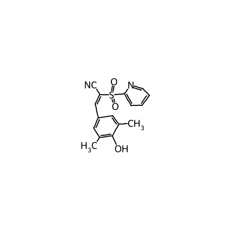 Cc1cc(C=C(C#N)S(=O)(=O)c2ccccn2)cc(C)c1O